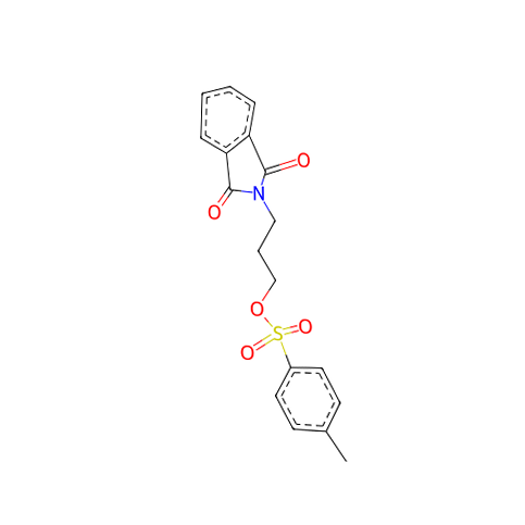 Cc1ccc(S(=O)(=O)OCCCN2C(=O)c3ccccc3C2=O)cc1